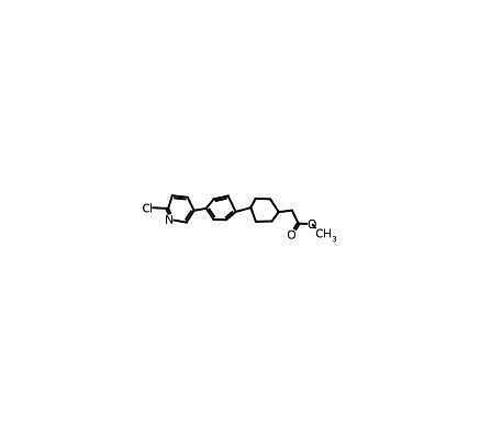 COC(=O)CC1CCC(c2ccc(-c3ccc(Cl)nc3)cc2)CC1